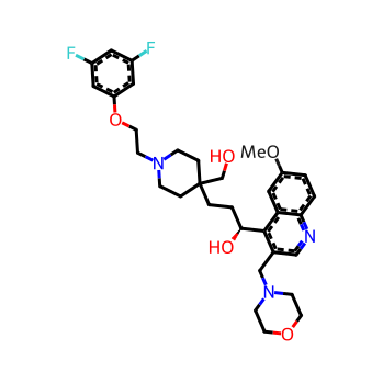 COc1ccc2ncc(CN3CCOCC3)c([C@@H](O)CCC3(CO)CCN(CCOc4cc(F)cc(F)c4)CC3)c2c1